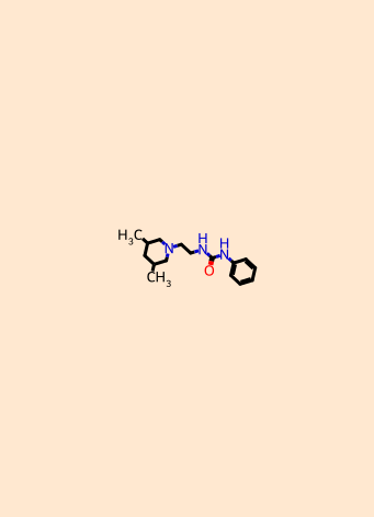 CC1CC(C)CN(CCNC(=O)Nc2ccccc2)C1